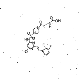 COc1cc(NS(=O)(=O)N2CCN(C(=O)CCNC(=O)O)CC2)nc(SCc2cccc(F)c2F)n1